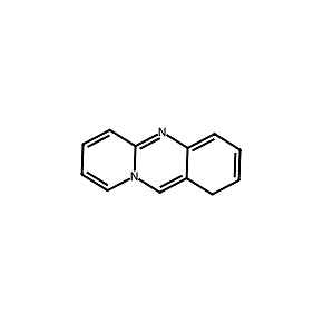 C1=CCC2=CN3C=CC=CC3=NC2=C1